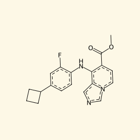 COC(=O)c1ccn2cncc2c1Nc1ccc(C2CCC2)cc1F